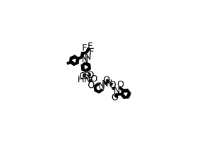 Cc1ccc(-c2cc(C(F)(F)F)nn2-c2ccc(S(=O)(=O)NC(=O)OC3CCCN(n4on4OCN4C(=O)c5ccccc5C4=O)C3)cc2)cc1